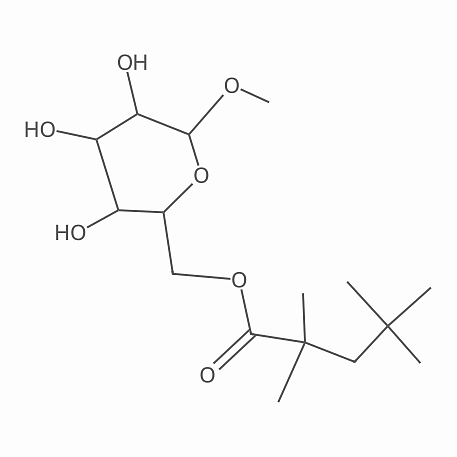 COC1OC(COC(=O)C(C)(C)CC(C)(C)C)C(O)C(O)C1O